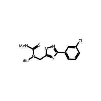 CCC(C)N(Cc1nc(-c2cccc(Cl)c2)no1)C(=S)NC